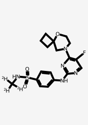 [2H]C([2H])([2H])NS(=O)(=O)c1ccc(Nc2ncc(F)c(N3CCOC4(CCC4)C3)n2)cc1